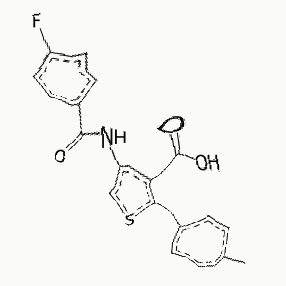 Cc1ccc(-c2scc(NC(=O)c3ccc(F)cc3)c2C(=O)O)cc1